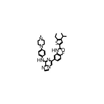 CCc1sc(C(=O)Nc2cc(-c3cn4ccnc4c(Nc4ccc(N5CCN(C)CC5)cc4)n3)ccc2F)cc1C(C)C